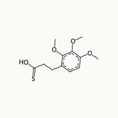 COc1ccc(CCC(O)=S)c(OC)c1OC